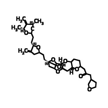 C=C1CC(CC[C@@]23CC4OC5C(O2)[C@H]2OC(CC(=O)CC6CCOC6)CCC2O[C@H]5C4O3)O[C@H]1CCC1C[C@@H](C)C(=C)[C@@H](C)O1